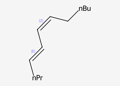 CCC/C=C/C=C\CCCCC